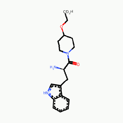 N[C@H](Cc1c[nH]c2ccccc12)C(=O)N1CCC(OCC(=O)O)CC1